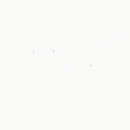 COc1cc2c(cc1OC)C1=NCCN1C(C=C(O)c1sc(C)nc1C)=N2